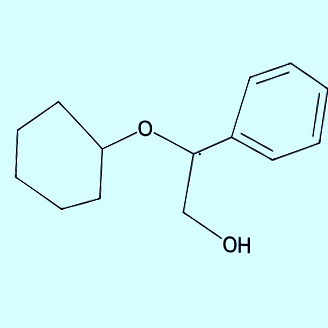 OC[C](OC1CCCCC1)c1ccccc1